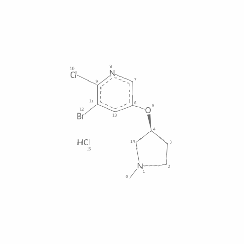 CN1CC[C@H](Oc2cnc(Cl)c(Br)c2)C1.Cl